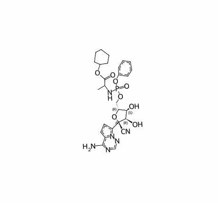 CC(NP(=O)(OC[C@H]1O[C@@](C#N)(c2ccc3c(N)ncnn23)[C@H](O)[C@@H]1O)Oc1ccccc1)C(=O)OC1CCCCC1